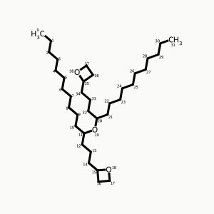 CCCCCCCCCCCC(CCCC1CCO1)OC(CCCCCCCCCCC)CCCC1CCO1